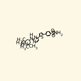 CC1(C)CC(Nc2nccc(-c3ccc(-c4ccc(S(N)(=O)=O)cc4)s3)n2)CC(C)(C)N1